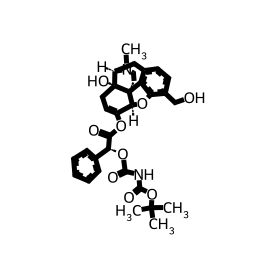 CN1CC[C@]23c4c5ccc(CO)c4O[C@H]2C(OC(=O)[C@H](OC(=O)NC(=O)OC(C)(C)C)c2ccccc2)=CC[C@@]3(O)[C@H]1C5